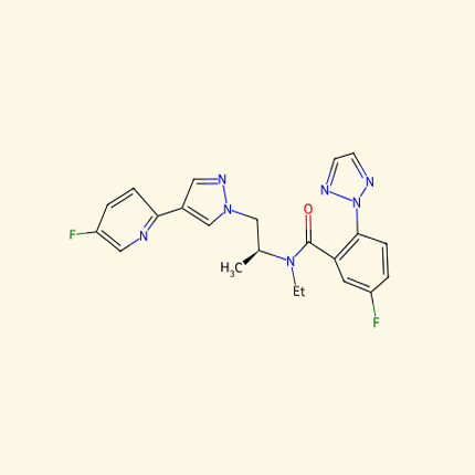 CCN(C(=O)c1cc(F)ccc1-n1nccn1)[C@@H](C)Cn1cc(-c2ccc(F)cn2)cn1